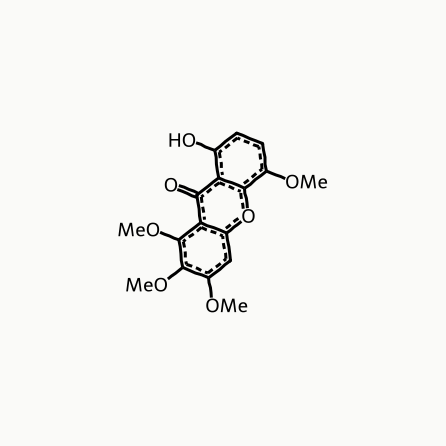 COc1cc2oc3c(OC)ccc(O)c3c(=O)c2c(OC)c1OC